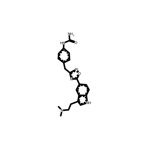 CN(C)CCc1c[nH]c2ccc(-c3nc(Cc4ccc(NC(N)=O)cc4)no3)cc12